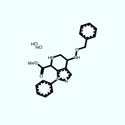 COC(=O)C1NCC(NOCc2ccccc2)c2cnn(-c3ccccc3)c21.Cl.Cl